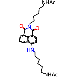 CC(=O)NCCCCCCNc1ccc2c3c(cccc13)C(=O)N(CCCCCCNC(C)=O)C2=O